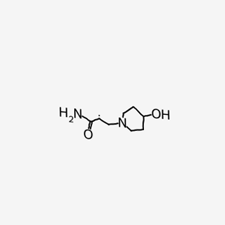 NC(=O)[CH]CN1CCC(O)CC1